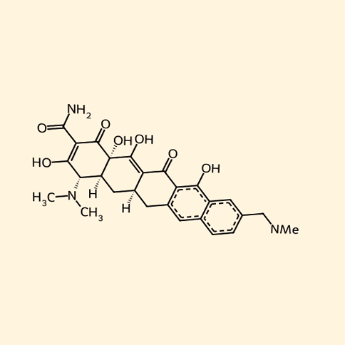 CNCc1ccc2cc3c(c(O)c2c1)C(=O)C1=C(O)[C@]2(O)C(=O)C(C(N)=O)=C(O)[C@@H](N(C)C)[C@@H]2C[C@@H]1C3